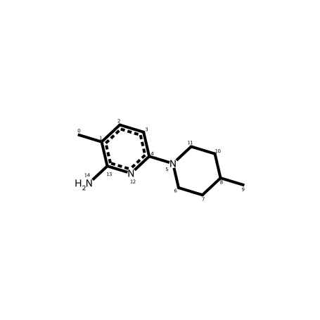 Cc1ccc(N2CCC(C)CC2)nc1N